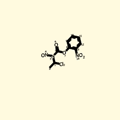 CC(Cl)N(N=O)C(=O)Oc1ccccc1[N+](=O)[O-]